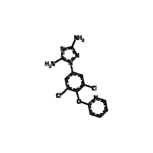 Nc1nc(N)n(-c2cc(Cl)c(Oc3ccccn3)c(Cl)c2)n1